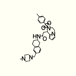 Cc1ccc(S(=O)(=O)N2CCn3cccc3C2CC(=O)NC2CCc3cc(CN4CCN(C)CC4)ccc3C2)cc1